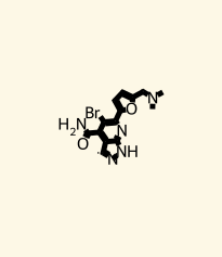 CN(C)Cc1ccc(-c2nc3[nH]n[c]c3c(C(N)=O)c2Br)o1